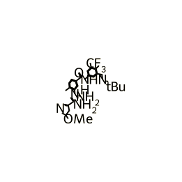 COC1C=NC=C(/C(N)=C/N(N)c2cc(C(=O)Nc3cc(CNCC(C)(C)C)c(C)c(C(F)(F)F)c3)ccc2C)C1